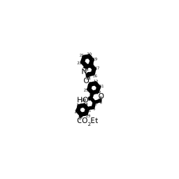 CCOC(=O)c1cccc(CC2COc3ccc(Oc4ccc5ccccc5n4)cc3C2O)c1